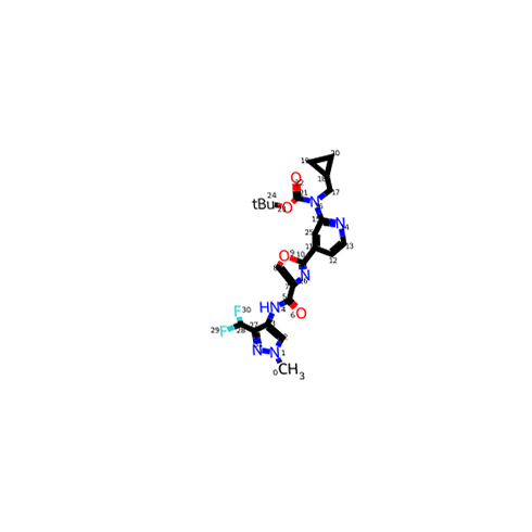 Cn1cc(NC(=O)c2coc(-c3ccnc(N(CC4CC4)C(=O)OC(C)(C)C)c3)n2)c(C(F)F)n1